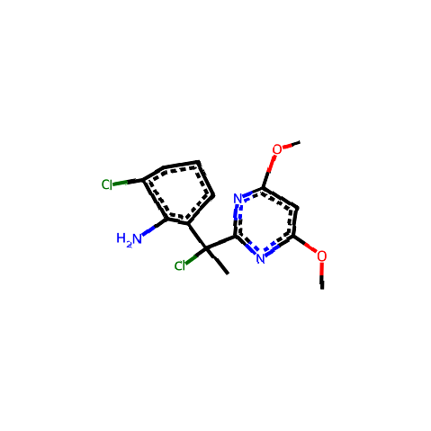 COc1cc(OC)nc(C(C)(Cl)c2cccc(Cl)c2N)n1